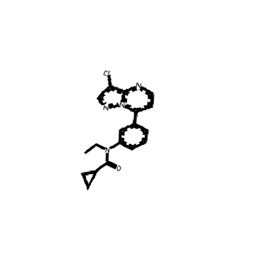 CCN(C(=O)C1CC1)c1cccc(-c2ccnc3c(Cl)cnn23)c1